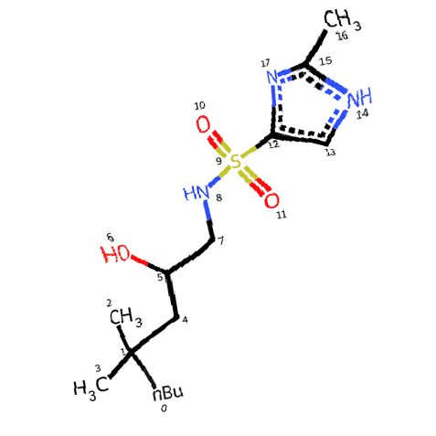 CCCCC(C)(C)CC(O)CNS(=O)(=O)c1c[nH]c(C)n1